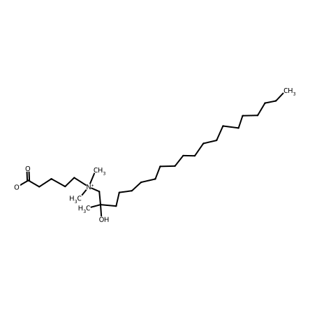 CCCCCCCCCCCCCCCCCCC(C)(O)C[N+](C)(C)CCCCC(=O)[O-]